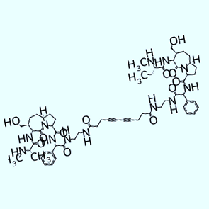 CC[C@H](NC)C(=O)N[C@@H]1C(=O)N2[C@@H](CC[C@@H]1CO)CC[C@H]2C(=O)N[C@H](C(=O)NCCNC(=O)CCC#CC#CCCC(=O)NCCNC(=O)[C@@H](NC(=O)[C@@H]1CC[C@@H]2CC[C@H](CO)[C@H](NC(=O)[C@H](C)NC)C(=O)N21)c1ccccc1)c1ccccc1